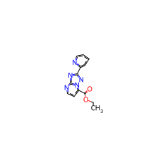 CCOC(=O)c1ccnc2nc(-c3ccccn3)nn12